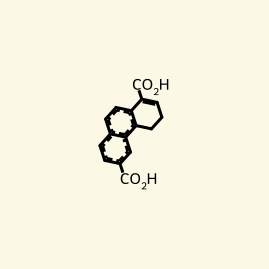 O=C(O)C1=CCCc2c1ccc1ccc(C(=O)O)cc21